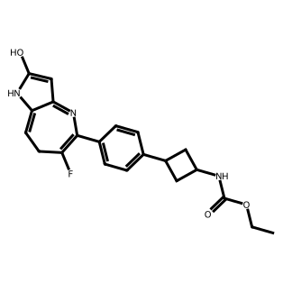 CCOC(=O)NC1CC(c2ccc(C3=C(F)CC=c4[nH]c(O)cc4=N3)cc2)C1